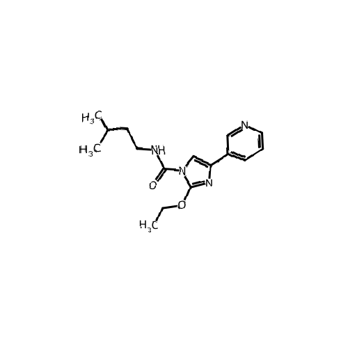 CCOc1nc(-c2cccnc2)cn1C(=O)NCCC(C)C